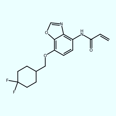 C=CC(=O)Nc1ccc(OCC2CCC(F)(F)CC2)c2ocnc12